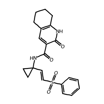 O=C(NC1(/C=C/S(=O)(=O)c2ccccc2)CC1)c1cc2c([nH]c1=O)CCCC2